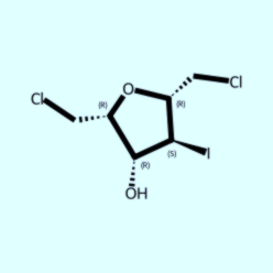 O[C@H]1[C@H](I)[C@@H](CCl)O[C@H]1CCl